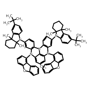 Cc1cc2c3c(c1)N(c1cccc4oc5ccccc5c14)c1cc(N4c5ccc(C(C)(C)C)cc5C5(C)CCCCC45C)ccc1B3c1ccc(N3c4ccc(C(C)(C)C)cc4C4(C)CCCCC34C)cc1N2c1cccc2oc3ccccc3c12